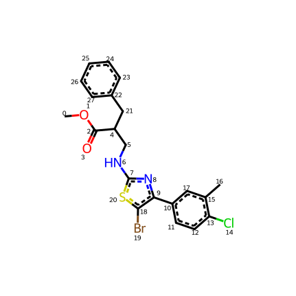 COC(=O)C(CNc1nc(-c2ccc(Cl)c(C)c2)c(Br)s1)Cc1ccccc1